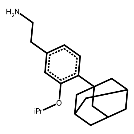 CC(C)Oc1cc(CCN)ccc1C12CC3CC(CC(C3)C1)C2